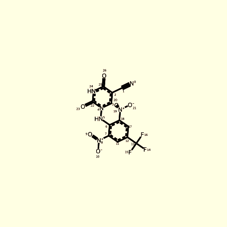 N#Cc1cn(Nc2c([N+](=O)[O-])cc(C(F)(F)F)cc2[N+](=O)[O-])c(=O)[nH]c1=O